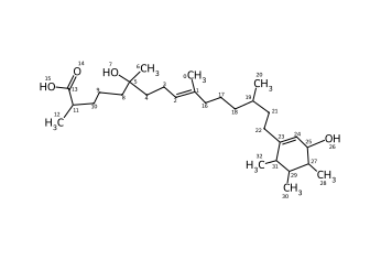 C/C(=C\CCC(C)(O)CCCC(C)C(=O)O)CCCC(C)CCC1=CC(O)C(C)C(C)C1C